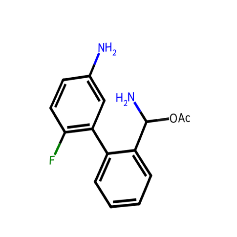 CC(=O)OC(N)c1ccccc1-c1cc(N)ccc1F